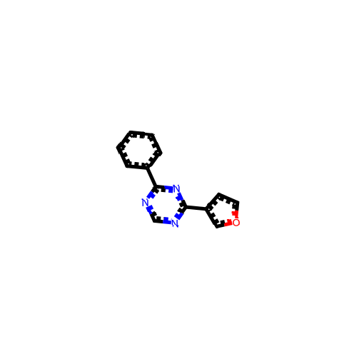 c1ccc(-c2ncnc(-c3ccoc3)n2)cc1